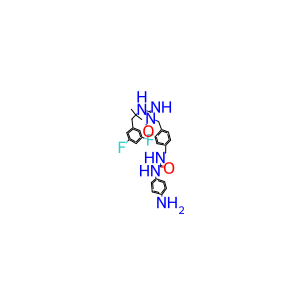 CC(C)(Cc1cc(F)cc(F)c1)NC(=N)N(C=O)Cc1ccc(CNC(=O)Nc2ccc(N)cc2)cc1